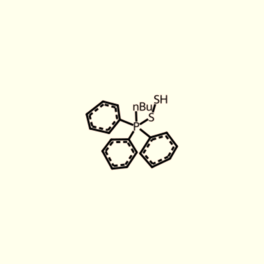 CCCCP(SS)(c1ccccc1)(c1ccccc1)c1ccccc1